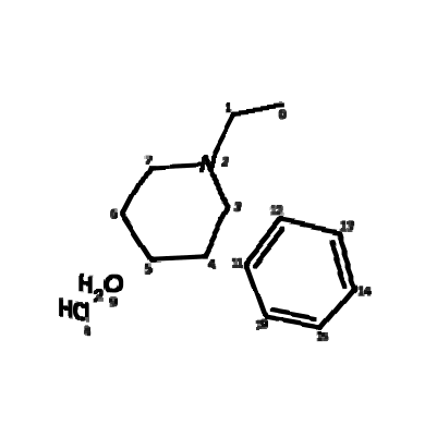 CCN1CCCCC1.Cl.O.c1ccccc1